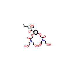 CCCCC(O)(CC)C(=O)c1ccc(OCC(=O)N(CCO)CCO)cc1OCC(=O)N(CCO)CCO